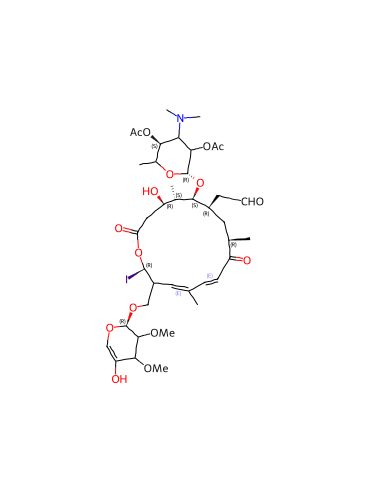 COC1C(O)=CO[C@@H](OCC2/C=C(C)/C=C/C(=O)[C@H](C)C[C@H](CC=O)[C@H](O[C@@H]3OC(C)[C@@H](OC(C)=O)C(N(C)C)C3OC(C)=O)[C@@H](C)[C@H](O)CC(=O)O[C@@H]2I)C1OC